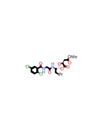 COC(=O)C[C@@H]1OB(C(CC(C)C)NC(=O)CNC(=O)c2cc(Cl)ccc2Cl)OC1=O